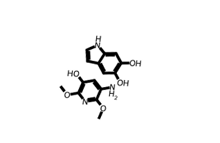 COc1nc(OC)c(O)cc1N.Oc1cc2cc[nH]c2cc1O